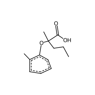 CCCC(C)(Oc1ccccc1C)C(=O)O